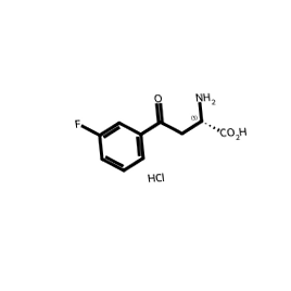 Cl.N[C@@H](CC(=O)c1cccc(F)c1)C(=O)O